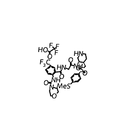 CSc1ccc(S(=O)(=O)C[C@@H]2CCNC[C@@H]2NC(=O)CNC(=O)c2cc(C(F)(F)F)ccc2NC(=O)N2CCOCC2)cc1.O=C(O)C(F)(F)F